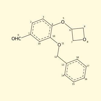 O=Cc1ccc(OC2COC2)c(OCc2ccccc2)c1